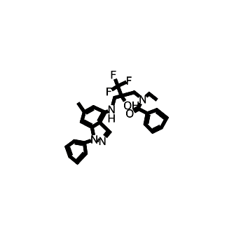 CCN(CC(O)(CNc1cc(C)cc2c1cnn2-c1ccccc1)C(F)(F)F)C(=O)c1ccccc1